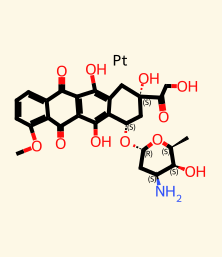 COc1cccc2c1C(=O)c1c(O)c3c(c(O)c1C2=O)C[C@@](O)(C(=O)CO)C[C@@H]3O[C@H]1C[C@H](N)[C@H](O)[C@H](C)O1.[Pt]